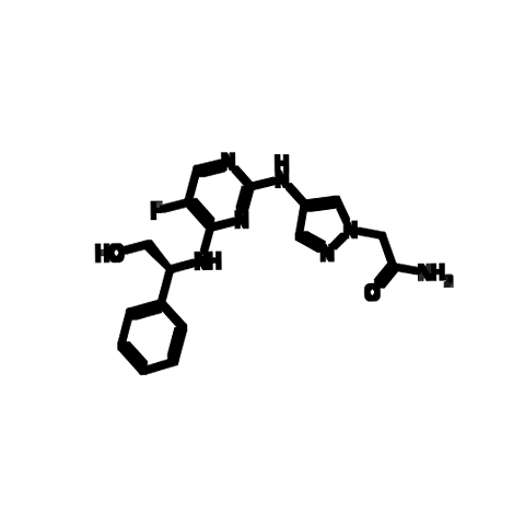 NC(=O)Cn1cc(Nc2ncc(F)c(N[C@H](CO)c3ccccc3)n2)cn1